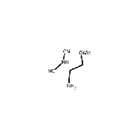 COCCN.N#CNC#N